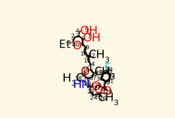 CC[C@@H]1C[C@@H](CO)[C@H](O)C(/C=C/C(C)=C/C[C@@H]2O[C@H](C)C(NC(=O)/C=C\C(C)OC(=O)c3ccc(F)cc3)C[C@@H]2C)O1